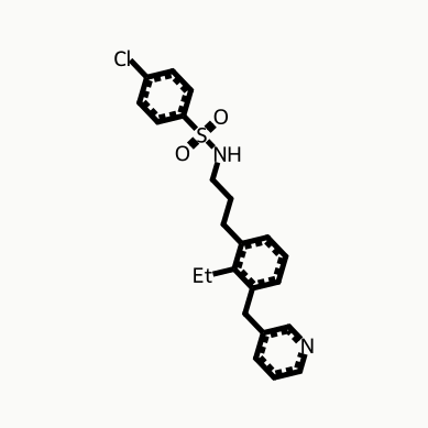 CCc1c(CCCNS(=O)(=O)c2ccc(Cl)cc2)cccc1Cc1cccnc1